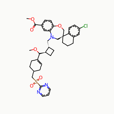 COC(=O)c1ccc2c(c1)N(C[C@@H]1CC[C@H]1C(OC)C1=CCC(CS(=O)(=O)c3ncccn3)CC1)C[C@@]1(CCCc3cc(Cl)ccc31)CO2